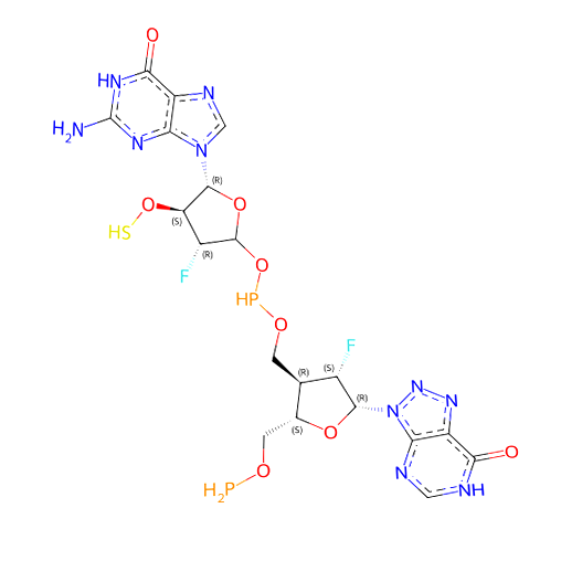 Nc1nc2c(ncn2[C@@H]2OC(OPOC[C@H]3[C@H](F)[C@H](n4nnc5c(=O)[nH]cnc54)O[C@@H]3COP)[C@H](F)[C@H]2OS)c(=O)[nH]1